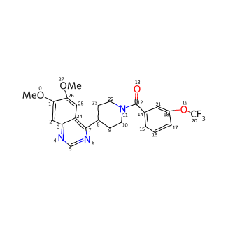 COc1cc2ncnc(C3CCN(C(=O)c4cccc(OC(F)(F)F)c4)CC3)c2cc1OC